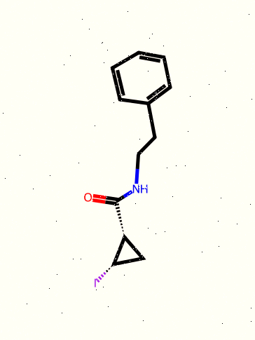 O=C(NCCc1ccccc1)[C@@H]1C[C@@H]1I